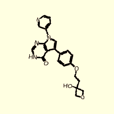 O=c1[nH]cnc2c1c(-c1ccc(OCCC3(O)COC3)cc1)cn2-c1cccnc1